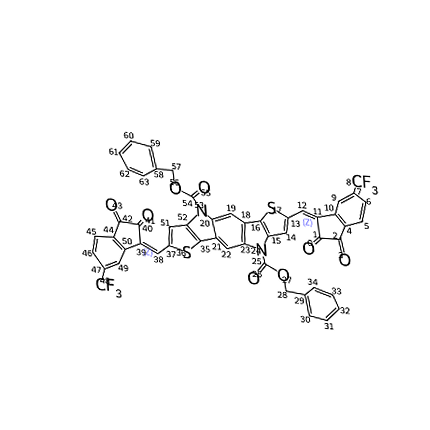 O=C1C(=O)c2ccc(C(F)(F)F)cc2/C1=C/c1cc2c(s1)c1cc3c(cc1n2C(=O)OCc1ccccc1)c1sc(/C=C2\C(=O)C(=O)c4ccc(C(F)(F)F)cc42)cc1n3C(=O)OCc1ccccc1